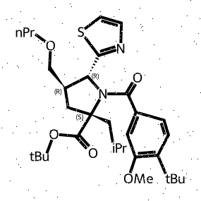 CCCOC[C@@H]1C[C@@](CC(C)C)(C(=O)OC(C)(C)C)N(C(=O)c2ccc(C(C)(C)C)c(OC)c2)[C@H]1c1nccs1